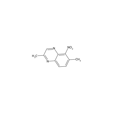 Cc1cnc2c([N+](=O)[O-])c(C)ccc2n1